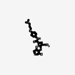 CN(C)CCCOc1ccc(NC(=O)c2cc([N+](=O)[O-])c(Sc3c(Cl)cncc3Cl)s2)cc1